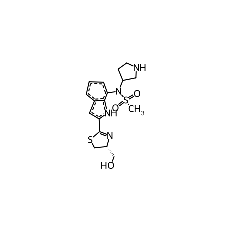 CS(=O)(=O)N(c1cccc2cc(C3=N[C@H](CO)CS3)[nH]c12)C1CCNC1